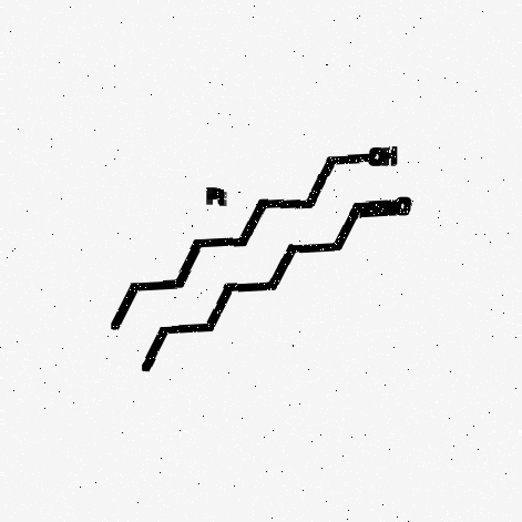 CCCCCCCC=O.CCCCCCCCO.[Pt]